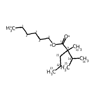 CCCCCCOC(=O)C(C)(CCC)C(C)C